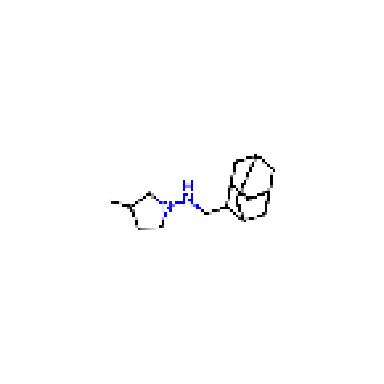 CC1CCN(NCC2C3CC4CC(C3)CC2C4)C1